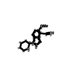 C#Cc1c(OC)ccc2c1cnn2C1CCCCO1